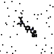 C=C(CC)/C(=C\C=C(C)C)CCc1ccc(/C(=C\C)CC(=O)O)c(C)c1